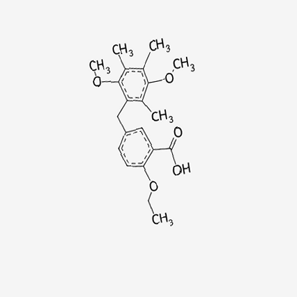 CCOc1ccc(Cc2c(C)c(OC)c(C)c(C)c2OC)cc1C(=O)O